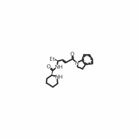 CC[C@@H](/C=C/C(=O)N1CCc2ccccc21)NC(=O)[C@@H]1CCCCN1